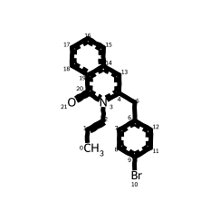 CC=Cn1c(Cc2ccc(Br)cc2)cc2ccccc2c1=O